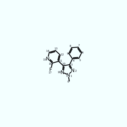 Cn1nc(-c2ccccc2)c(-c2cccnc2F)n1